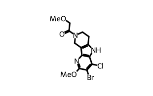 COCC(=O)N1CCc2[nH]c3c(Cl)c(Br)c(OC)nc3c2C1